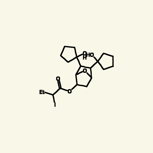 CCC(I)C(=O)OC1CC2OC1C(C1(O)CCCC1)C2C1(O)CCCC1